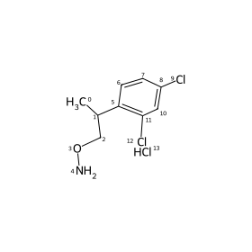 CC(CON)c1ccc(Cl)cc1Cl.Cl